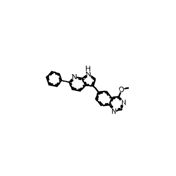 COc1ncnc2ccc(-c3c[nH]c4nc(-c5ccccc5)ccc34)cc12